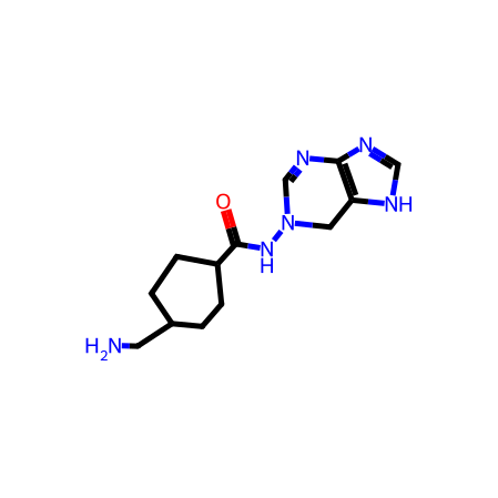 NCC1CCC(C(=O)NN2C=Nc3nc[nH]c3C2)CC1